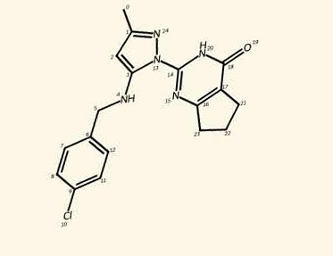 Cc1cc(NCc2ccc(Cl)cc2)n(-c2nc3c(c(=O)[nH]2)CCC3)n1